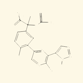 Cc1ccc(C(OC(=O)C(F)(F)F)(C(N)=O)C(F)(F)F)cc1-c1cnc(N)c(-c2cnnn2C)n1